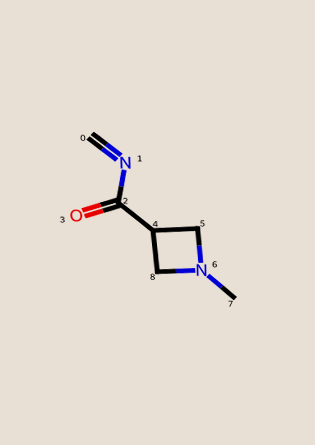 C=NC(=O)C1CN(C)C1